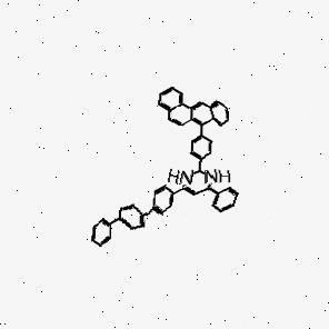 C1=C(c2ccc(-c3ccc(-c4ccccc4)cc3)cc2)NC(c2ccc(-c3c4ccccc4cc4c3ccc3ccccc34)cc2)NC1c1ccccc1